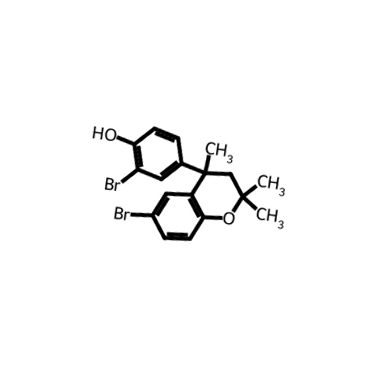 CC1(C)CC(C)(c2ccc(O)c(Br)c2)c2cc(Br)ccc2O1